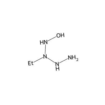 CCN(NN)NO